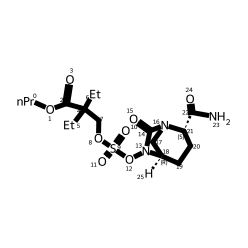 CCCOC(=O)C(CC)(CC)COS(=O)(=O)ON1C(=O)N2C[C@H]1CC[C@H]2C(N)=O